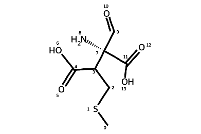 CSCC(C(=O)O)[C@@](N)(C=O)C(=O)O